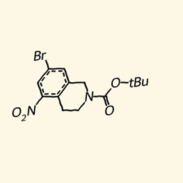 CC(C)(C)OC(=O)N1CCc2c(cc(Br)cc2[N+](=O)[O-])C1